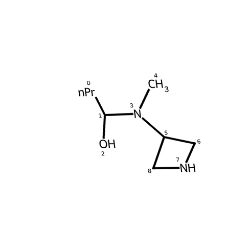 CCCC(O)N(C)C1CNC1